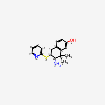 CC1(C)c2cc(O)ccc2C[C@H](Sc2ccccn2)[C@H]1N